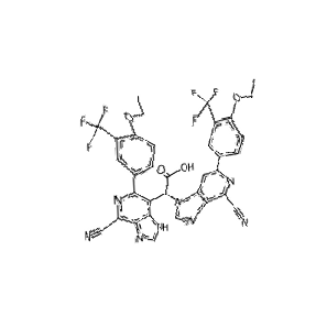 CCOc1ccc(-c2cc3c(ncn3C(C(=O)O)c3c(-c4ccc(OCC)c(C(F)(F)F)c4)nc(C#N)c4nc[nH]c34)c(C#N)n2)cc1C(F)(F)F